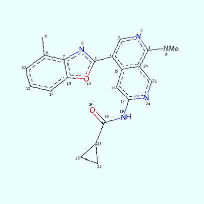 CNc1ncc(-c2nc3c(C)cccc3o2)c2cc(NC(=O)C3CC3)ncc12